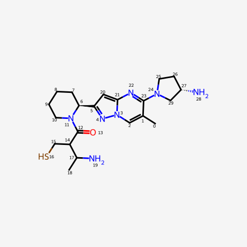 Cc1cn2nc([C@@H]3CCCCN3C(=O)C(CS)C(C)N)cc2nc1N1CC[C@H](N)C1